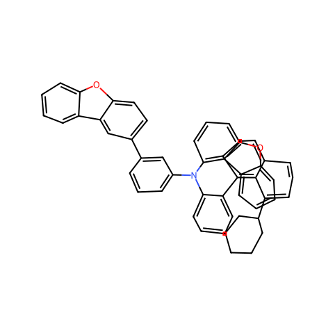 c1cc(-c2ccc3oc4ccccc4c3c2)cc(N(c2ccccc2-c2cccc3cccc(C4CCCCC4)c23)c2cccc3oc4ccccc4c23)c1